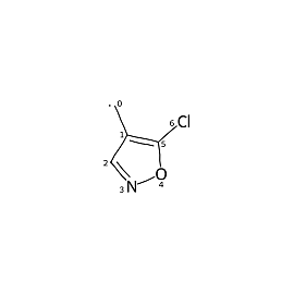 [CH2]c1cnoc1Cl